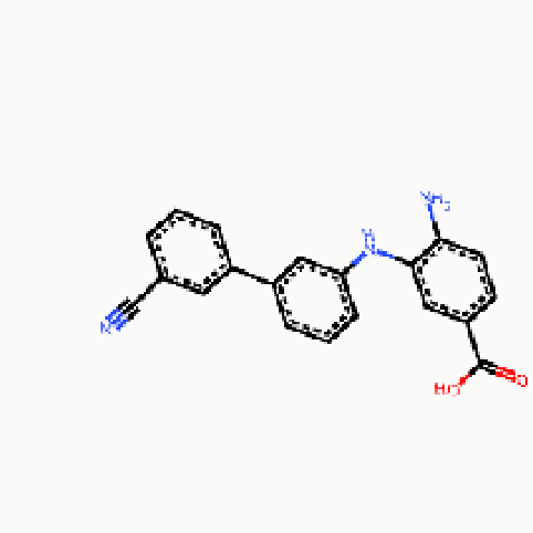 N#Cc1cccc(-c2cccc(Nc3cc(C(=O)O)ccc3N)c2)c1